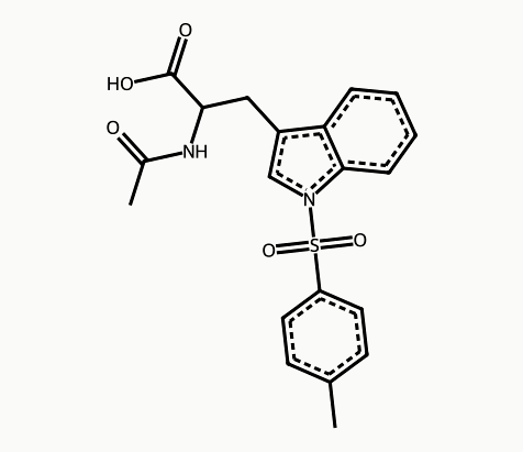 CC(=O)NC(Cc1cn(S(=O)(=O)c2ccc(C)cc2)c2ccccc12)C(=O)O